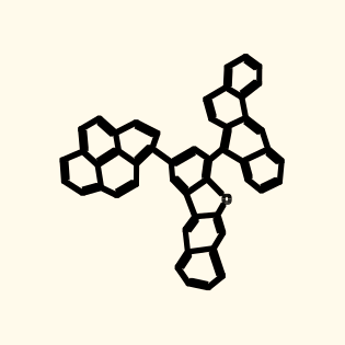 c1ccc2cc3c(cc2c1)oc1c(-c2c4ccccc4cc4c2ccc2ccccc24)cc(-c2ccc4ccc5cccc6ccc2c4c56)cc13